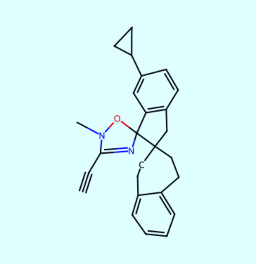 C#CC1=NC2(ON1C)c1cc(C3CC3)ccc1CC21CCc2ccccc2CC1